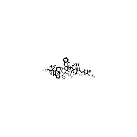 CC[C@H](C)[C@H](NC(=O)[C@@H](N)CO)C(=O)N1CCC[C@H]1C(=O)N[C@@H](C)C(=O)N[C@@H](Cc1ccccc1)C(=O)N[C@@H](CS)C(=O)N[C@@H](CCCNC(=N)N)C(=O)O